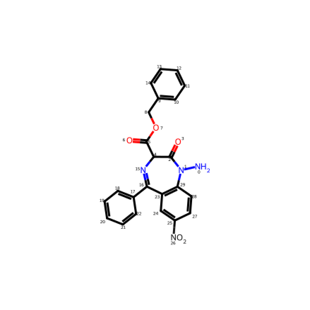 NN1C(=O)C(C(=O)OCc2ccccc2)N=C(c2ccccc2)c2cc([N+](=O)[O-])ccc21